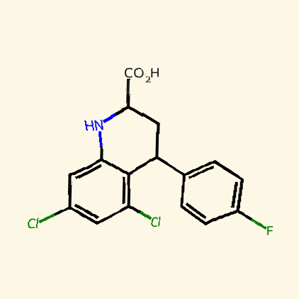 O=C(O)C1CC(c2ccc(F)cc2)c2c(Cl)cc(Cl)cc2N1